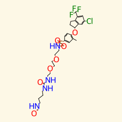 Cc1cc(S(=O)(=O)NCCOCCOCCNC(=O)NCCCCNC=O)ccc1O[C@@H]1CCc2c1cc(Cl)cc2C(F)(F)F